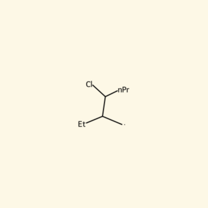 [CH2]C(CC)C(Cl)CCC